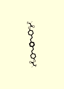 C[C@@H](F)C(=O)OC1CCC(CCc2ccc(CCC3CCC(OC(=O)[C@@H](C)F)CC3)cc2)CC1